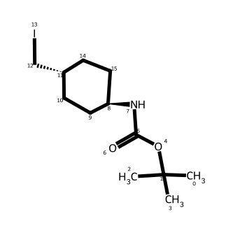 CC(C)(C)OC(=O)N[C@H]1CC[C@H](CI)CC1